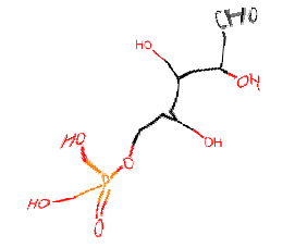 O=CC(O)C(O)C(O)COP(=O)(O)O